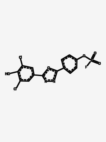 O=S(=O)(F)Oc1ccc(-c2nnc(-c3cc(Cl)c(O)c(Cl)c3)o2)cc1